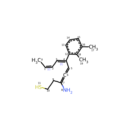 C/C=C\C=C(/C=C=C(N)CCS)c1cccc(C)c1C